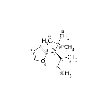 CCC(C)[C@@H](c1ccco1)C(C)(C)C